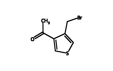 CC(=O)c1cscc1CBr